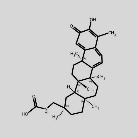 CC1=C(O)C(=O)C=C2C1=CC=C1[C@@]2(C)CC[C@@]2(C)[C@@H]3C[C@](C)(CNC(=O)O)CC[C@]3(C)CC[C@]12C